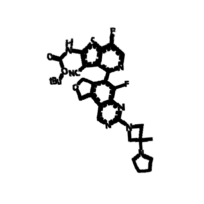 CC(C)(C)OC(=O)Nc1sc2c(F)cnc(-c3c4c(c5cnc(N6CC(C)(N7CCCC7)C6)nc5c3F)COC4)c2c1C#N